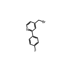 Fc1ccc(-c2cc(CBr)ccn2)cc1